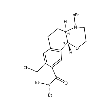 CCCN1CCO[C@@H]2c3cc(C(=O)N(CC)CC)c(CCl)cc3CC[C@H]21